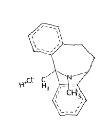 CN1C2CCc3ccccc3C1(C)c1ccccc12.[Cl-].[H+]